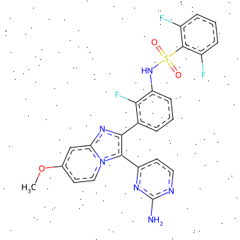 COc1ccn2c(-c3ccnc(N)n3)c(-c3cccc(NS(=O)(=O)c4c(F)cccc4F)c3F)nc2c1